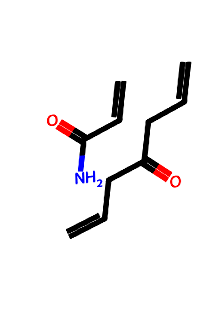 C=CC(N)=O.C=CCC(=O)CC=C